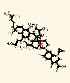 COC(=O)/C(C)=C\CC1(O)C(=O)CCC(C(C)C)C12Oc1c(CC=C(C)C)c3c(c(O)c1C(=O)C2C(C)N1CCN(c2cc4c(cc2F)c(=O)c(C(=O)O)cn4C2CC2)CC1)C=CC(C)(CCC=C(C)C)O3